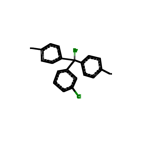 [CH2]c1ccc(C(Br)(c2ccc([CH2])cc2)c2cccc(Cl)c2)cc1